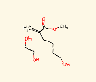 C=C(CCCCO)C(=O)OC.OCCO